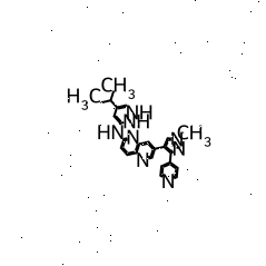 CCC(CC)C1=CNNC(Nc2ccc3ncc(-c4cn(C)nc4-c4ccncc4)cc3n2)=C1